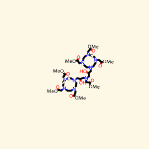 COC(=O)CN1CCN(CC(=O)OC)CCN(CC(O)CN(CC(=O)OC)CC(O)CN2CCN(CC(=O)OC)CCN(CC(=O)OC)CCN(CC(=O)OC)CC2)CCN(CC(=O)OC)CC1